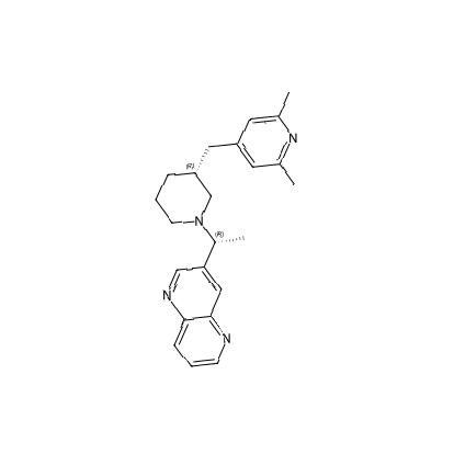 Cc1cc(C[C@H]2CCCN([C@H](C)c3cnc4cccnc4c3)C2)cc(C)n1